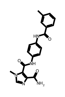 Cc1cccc(C(=O)Nc2ccc(NC(=O)c3c(C(N)=O)ncn3C)cc2)c1